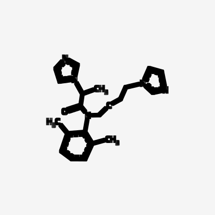 Cc1cccc(C)c1N(CCCCn1ccnc1)C(=O)C(C)n1ccnc1